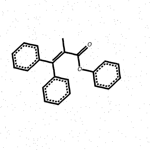 CC(C(=O)Oc1ccccc1)=C(c1ccccc1)c1ccccc1